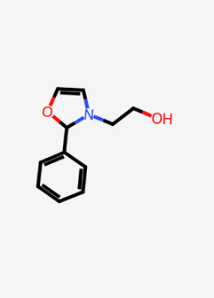 OCCN1C=COC1c1ccccc1